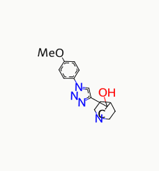 COc1ccc(-n2cc(C3(O)CN4CCC3CC4)nn2)cc1